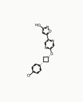 Oc1cc(-c2cnc(O[C@H]3C[C@@H](c4ccc(Cl)cc4)C3)cn2)on1